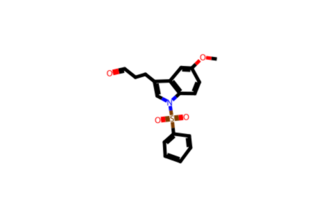 COc1ccc2c(c1)c(CCC=O)cn2S(=O)(=O)c1ccccc1